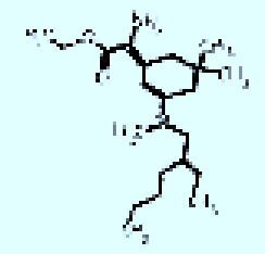 CCCCC(CC)CN(C)C1=C/C(=C(/N)C(=O)OCC)CC(C)(C)C1